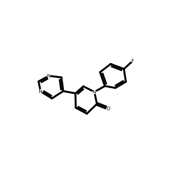 O=c1ccc(-c2cncnc2)cn1-c1ccc(F)cc1